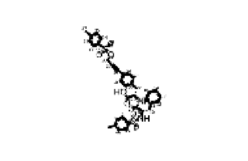 Cc1ccc(S(=O)(=O)N[C@@H](Cc2ccccc2)C(=O)N[C@@H](Cc2ccc(C#CCOS(=O)(=O)c3ccc(C)cc3)cc2)C(=O)O)cc1